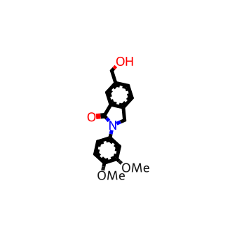 COc1ccc(N2Cc3ccc(CO)cc3C2=O)cc1OC